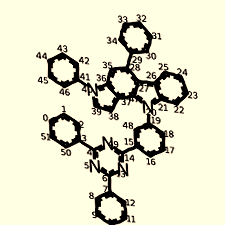 c1ccc(-c2nc(-c3ccccc3)nc(-c3cccc(-n4c5ccccc5c5c(-c6ccccc6)cc6c(ccn6-c6ccccc6)c54)c3)n2)cc1